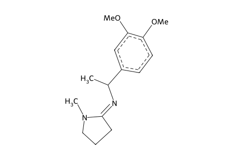 COc1ccc(C(C)/N=C2/CCCN2C)cc1OC